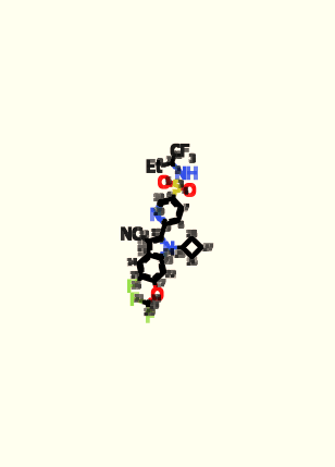 CC[C@H](NS(=O)(=O)c1ccc(-c2c(C#N)c3cc(F)c(OC(F)F)cc3n2C2CCC2)nc1)C(F)(F)F